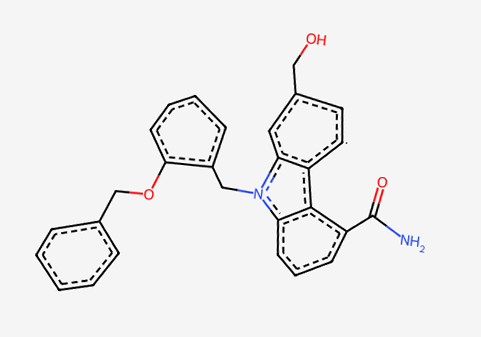 NC(=O)c1cccc2c1c1[c]cc(CO)cc1n2Cc1ccccc1OCc1ccccc1